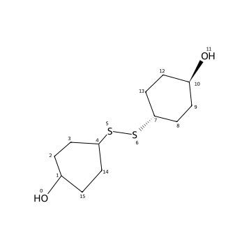 OC1CCC(SS[C@H]2CC[C@H](O)CC2)CC1